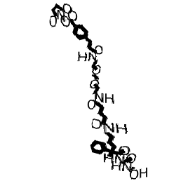 CC(CCCCNC(=O)CCCC(=O)NCCOCCOCCNC(=O)CCc1ccc(C(=O)ON2C(=O)CCC2=O)cc1)(C(=O)NC(=O)NCO)c1ccccc1